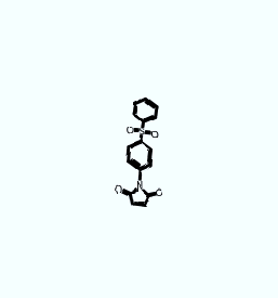 O=C1C=CC(=O)N1c1ccc(S(=O)(=O)c2ccccc2)cc1